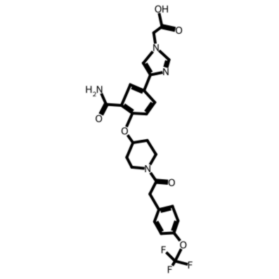 NC(=O)c1cc(-c2cn(CC(=O)O)cn2)ccc1OC1CCN(C(=O)Cc2ccc(OC(F)(F)F)cc2)CC1